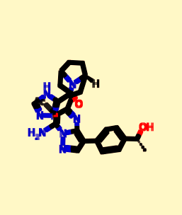 CC(=O)c1c(C2CC3CC[C@H](C2)N3C(=O)c2nnc[nH]2)nc2c(-c3ccc([C@@H](C)O)cc3)cnn2c1N